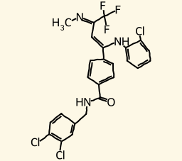 C/N=C(\C=C(/Nc1ccccc1Cl)c1ccc(C(=O)NCc2ccc(Cl)c(Cl)c2)cc1)C(F)(F)F